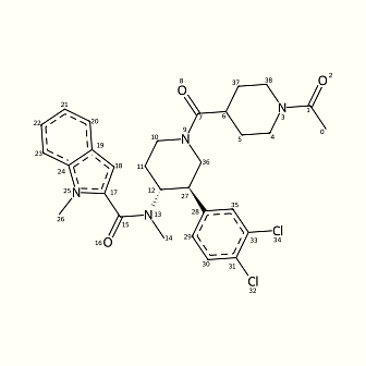 CC(=O)N1CCC(C(=O)N2CC[C@@H](N(C)C(=O)c3cc4ccccc4n3C)[C@H](c3ccc(Cl)c(Cl)c3)C2)CC1